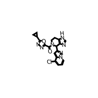 O=C(c1nnc(C2CC2)o1)N1CCc2[nH]cnc2C1c1cc2c(Cl)cccn2n1